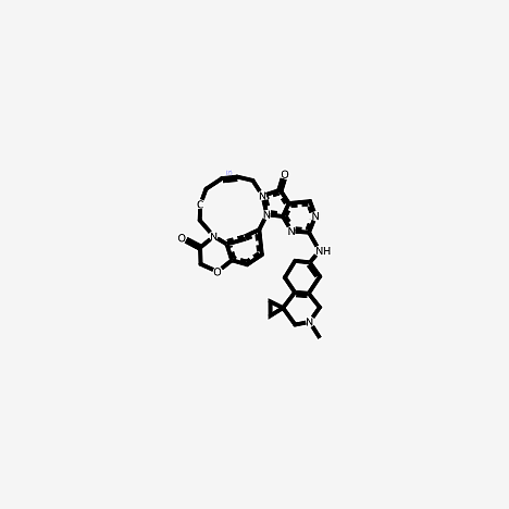 CN1CC2=C(CCC(Nc3ncc4c(=O)n5n(c4n3)-c3ccc4c(c3)N(CCC/C=C\C5)C(=O)CO4)=C2)C2(CC2)C1